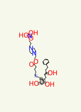 O=C(CCC/C=C\C[C@@H]1[C@@H](CC[C@@H](O)CCc2ccccc2)[C@H](O)C[C@@H]1O)OCCN1CCN(CCCON(O)O)CC1